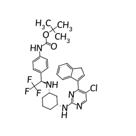 CC(C)(C)OC(=O)Nc1ccc([C@@H](N[C@H]2CCC[C@@H](Nc3ncc(Cl)c(C4=CCc5ccccc54)n3)C2)C(F)(F)F)cc1